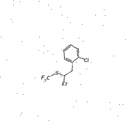 CCC(Cc1c[c]ccc1Cl)SC(F)(F)F